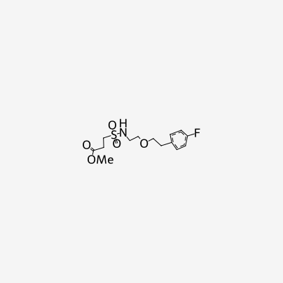 COC(=O)CCS(=O)(=O)NCCOCCc1ccc(F)cc1